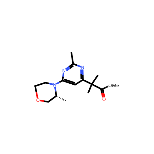 COC(=O)C(C)(C)c1cc(N2CCOC[C@H]2C)nc(C)n1